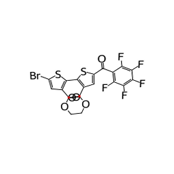 O=C(c1cc2c(s1)-c1sc(Br)cc1C13OCCOC21OCCO3)c1c(F)c(F)c(F)c(F)c1F